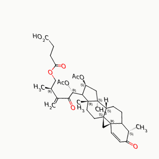 C=C(C(=O)[C@H](OC(C)=O)C1[C@@H](OC(C)=O)C[C@@]2(C)[C@@H]3CCC4[C@H](C)C(=O)C=C[C@@]45C[C@@]35CC[C@]12C)[C@@H](C)COC(=O)CCC(=O)O